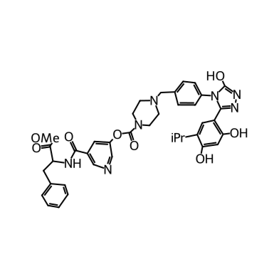 COC(=O)C(Cc1ccccc1)NC(=O)c1cncc(OC(=O)N2CCN(Cc3ccc(-n4c(O)nnc4-c4cc(C(C)C)c(O)cc4O)cc3)CC2)c1